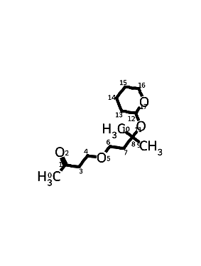 CC(=O)CCOCCC(C)(C)OC1CCCCO1